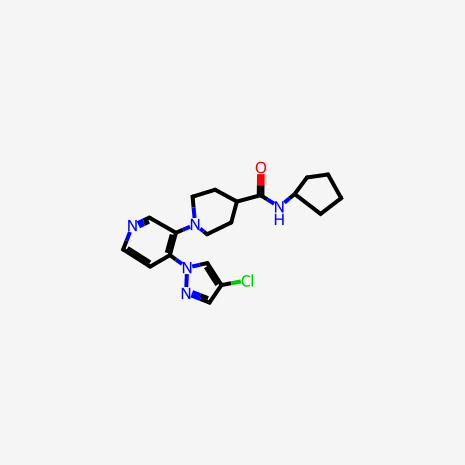 O=C(NC1CCCC1)C1CCN(c2cnccc2-n2cc(Cl)cn2)CC1